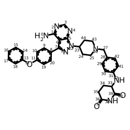 Nc1ncnc2c1c(-c1ccc(Oc3ccccc3)cc1)nn2C1CCN(Cc2ccc(NC3CCC(=O)NC3=O)cc2)CC1